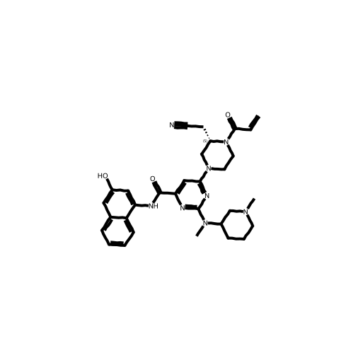 C=CC(=O)N1CCN(c2cc(C(=O)Nc3cc(O)cc4ccccc34)nc(N(C)C3CCCN(C)C3)n2)C[C@@H]1CC#N